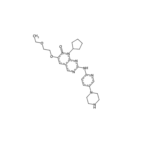 CCOCCOc1cc2cnc(Nc3ccc(N4CCNCC4)cn3)nc2n(C2CCCC2)c1=O